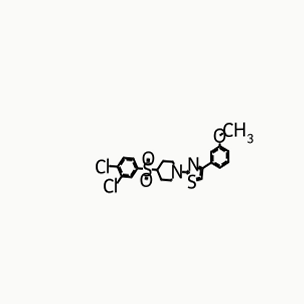 COc1cccc(-c2csc(N3CCC(S(=O)(=O)c4ccc(Cl)c(Cl)c4)CC3)n2)c1